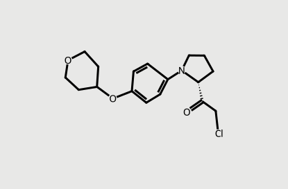 O=C(CCl)[C@H]1CCCN1c1ccc(OC2CCOCC2)cc1